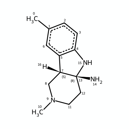 Cc1ccc2c(c1)[C@H]1CN(C)CC[C@@]1(N)N2